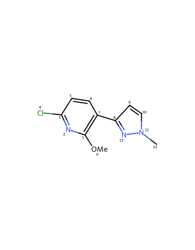 COc1nc(Cl)ccc1-c1ccn(C)n1